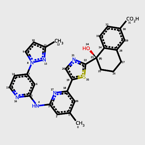 Cc1cc(Nc2cc(-n3ccc(C)n3)ccn2)nc(-c2cnc([C@@]3(O)CCCc4cc(C(=O)O)ccc43)s2)c1